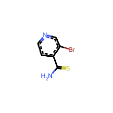 NC(=S)c1ccncc1Br